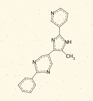 Cc1[nH]c(-c2cccnc2)nc1-c1cnc(-c2ccccc2)nc1